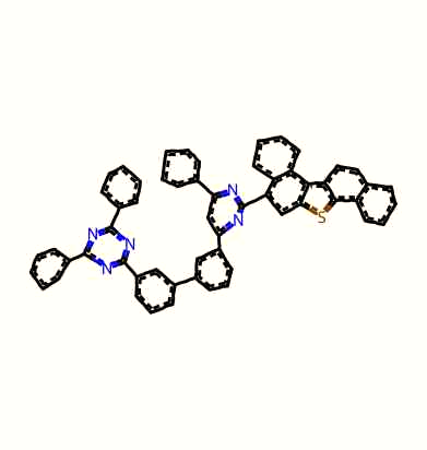 c1ccc(-c2cc(-c3cccc(-c4cccc(-c5nc(-c6ccccc6)nc(-c6ccccc6)n5)c4)c3)nc(-c3cc4sc5c6ccccc6ccc5c4c4ccccc34)n2)cc1